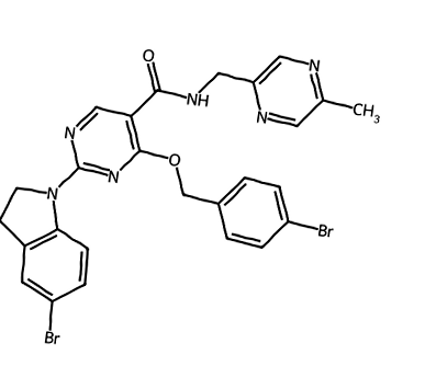 Cc1cnc(CNC(=O)c2cnc(N3CCc4cc(Br)ccc43)nc2OCc2ccc(Br)cc2)cn1